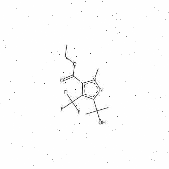 CCOC(=O)c1c(C(F)(F)F)c(C(C)(C)O)nn1C